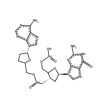 Nc1nc2c(ncn2[C@H]2C[C@H](C[PH](=O)OCC3CC[C@H](n4cnc5c(N)ncnc54)O3)C(CO[PH](=O)O)O2)c(=O)[nH]1